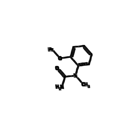 CC(C)Oc1ccccc1N(C)C(N)=O